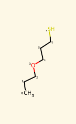 CCCOCCCS